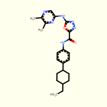 Cc1ncc(Nc2nnc(C(=O)Nc3ccc(C4CCC(CC(=O)O)CC4)cc3)o2)nc1C